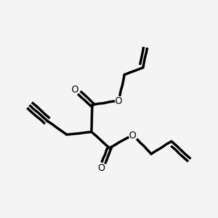 C#CCC(C(=O)OCC=C)C(=O)OCC=C